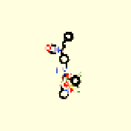 O=C(COCC1CCCCN1S(=O)(=O)c1c(Cl)cc(Cl)cc1Cl)NCC1CCC(C(CCc2ccccc2)N2CCOCC2)CC1